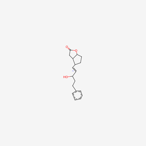 O=C1CC2C(/C=C/C(O)CCc3ccccc3)CCC2O1